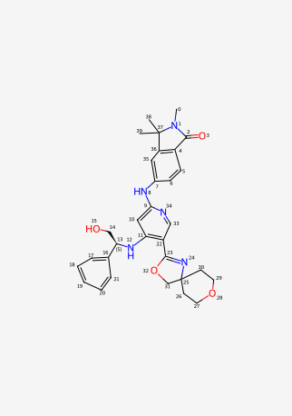 CN1C(=O)c2ccc(Nc3cc(N[C@H](CO)c4ccccc4)c(C4=NC5(CCOCC5)CO4)cn3)cc2C1(C)C